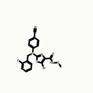 CSNC(=O)c1nc(N(Cc2ccccc2F)c2ccc(C#N)cc2)sc1Br